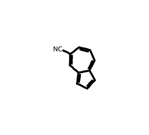 N#Cc1cccc2cccc-2c1